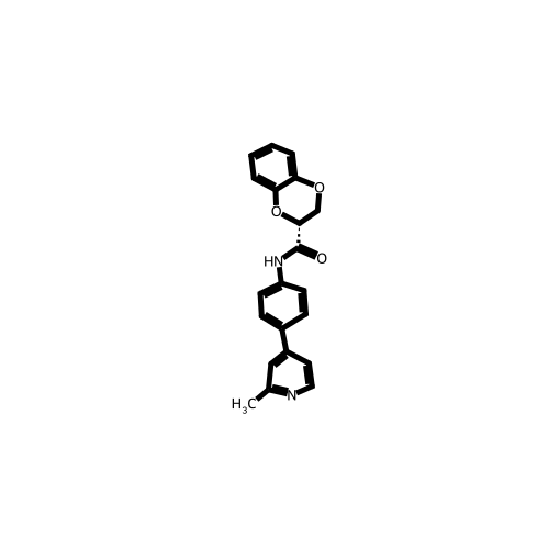 Cc1cc(-c2ccc(NC(=O)[C@H]3COc4ccccc4O3)cc2)ccn1